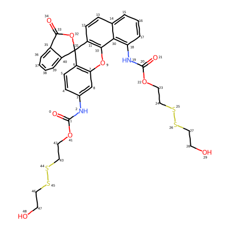 O=C(Nc1ccc2c(c1)Oc1c(ccc3cccc(NC(=O)OCCSSCCO)c13)C21OC(=O)c2ccccc21)OCCSSCCO